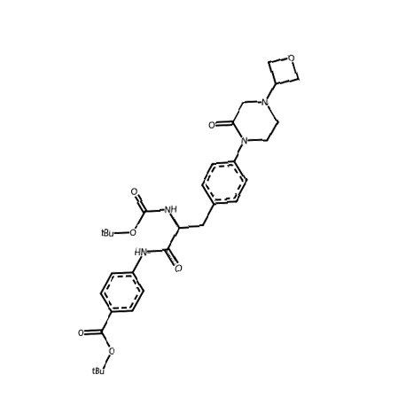 CC(C)(C)OC(=O)NC(Cc1ccc(N2CCN(C3COC3)CC2=O)cc1)C(=O)Nc1ccc(C(=O)OC(C)(C)C)cc1